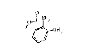 COC=O.Nc1ccccc1N